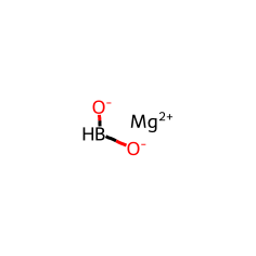 [Mg+2].[O-]B[O-]